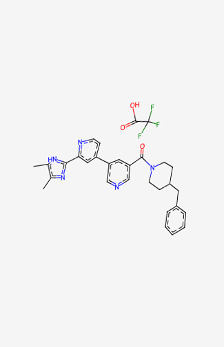 Cc1nc(-c2cc(-c3cncc(C(=O)N4CCC(Cc5ccccc5)CC4)c3)ccn2)[nH]c1C.O=C(O)C(F)(F)F